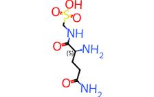 NC(=O)CC[C@H](N)C(=O)NCS(=O)(=O)O